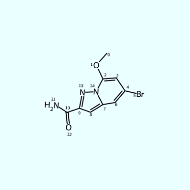 COc1cc(Br)cc2cc(C(N)=O)nn12